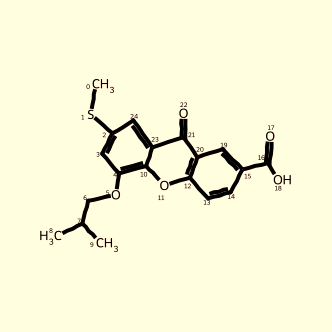 CSc1cc(OCC(C)C)c2oc3ccc(C(=O)O)cc3c(=O)c2c1